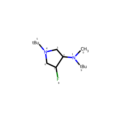 CN(C1CN(C(C)(C)C)CC1F)C(C)(C)C